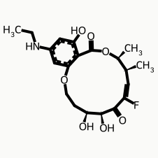 CCNc1cc(O)c2c(c1)OCC[C@H](O)[C@H](O)C(=O)/C(F)=C\[C@H](C)[C@H](C)OC2=O